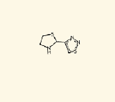 c1snnc1[C]1NCCS1